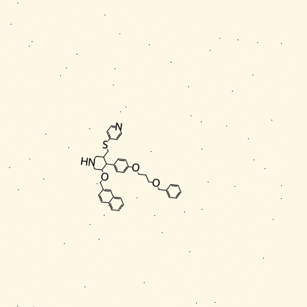 c1ccc(COCCCOc2ccc(C3C(CSc4ccncc4)CNCC3OCc3ccc4ccccc4c3)cc2)cc1